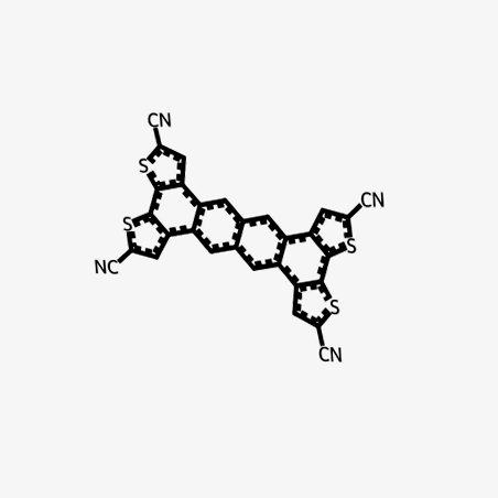 N#Cc1cc2c3cc4cc5c(cc4cc3c3cc(C#N)sc3c2s1)c1cc(C#N)sc1c1sc(C#N)cc51